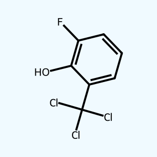 Oc1c(F)cccc1C(Cl)(Cl)Cl